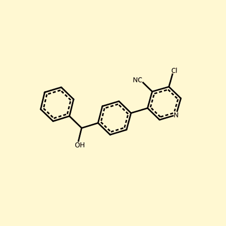 N#Cc1c(Cl)cncc1-c1ccc(C(O)c2ccccc2)cc1